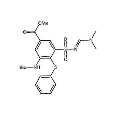 CCCCNc1cc(C(=O)OC)cc(S(=O)(=O)N=CN(C)C)c1Sc1ccccc1